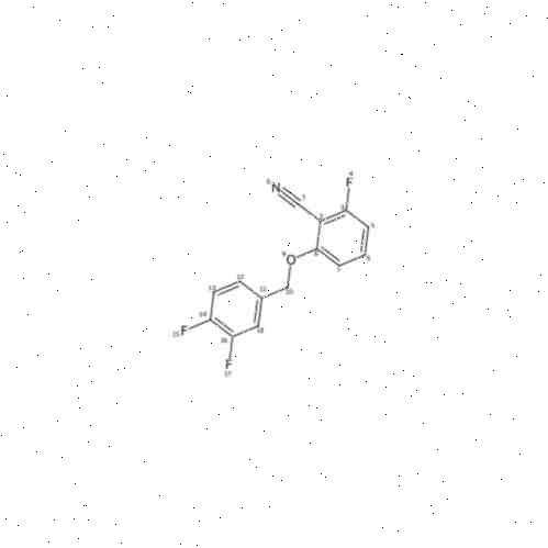 N#Cc1c(F)cccc1OCc1ccc(F)c(F)c1